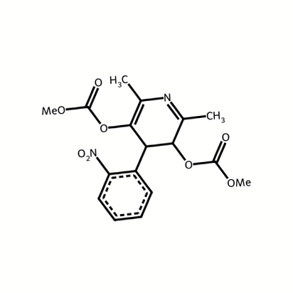 COC(=O)OC1=C(C)N=C(C)C(OC(=O)OC)C1c1ccccc1[N+](=O)[O-]